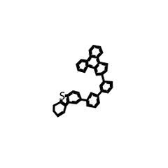 C1=Cc2c(sc3ccc(-c4cccc(-c5cccc(-c6ccc7c8ccccc8c8ccccc8c7c6)c5)c4)cc23)CC1